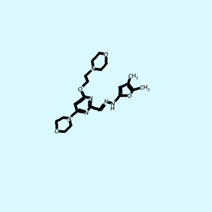 Cc1cc(N/N=C/c2nc(OCCN3CCOCC3)cc(N3CCOCC3)n2)oc1C